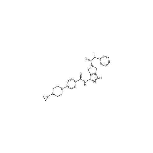 C[C@@H](C(=O)N1Cc2[nH]nc(NC(=O)c3ccc(N4CCN(C5CC5)CC4)cc3)c2C1)c1ccccc1